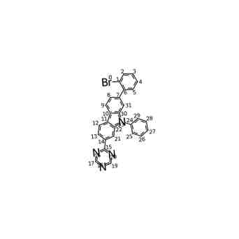 Brc1ccccc1-c1ccc2c3ccc(-c4ncncn4)cc3n(-c3ccccc3)c2c1